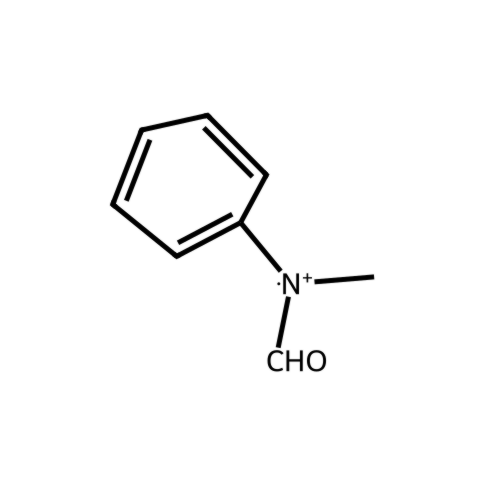 C[N+](C=O)c1ccccc1